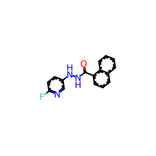 O=C(NNc1ccc(F)nc1)c1cccc2ccccc12